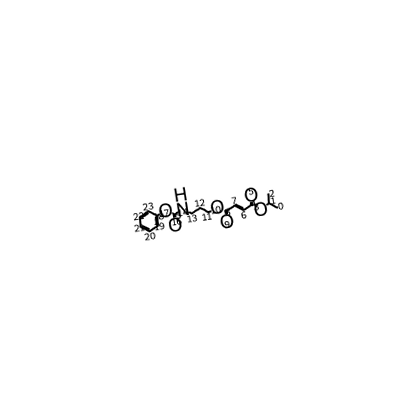 CC(C)OC(=O)/C=C/C(=O)OCCCNC(=O)Oc1ccccc1